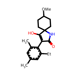 CCc1cc(C)cc(C)c1C1=C(O)C2(CCC(OC)CC2)NC1=O